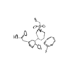 C=CCS(=O)(=O)N1CCCC(c2cc(CC(=O)O)ccc2Cl)C1.Fc1ccccc1